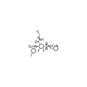 Cc1ncccc1CNS(=O)(=O)c1cc(C(=O)NOCC2CC2)c(Nc2ccc(I)cc2Cl)c(F)c1F